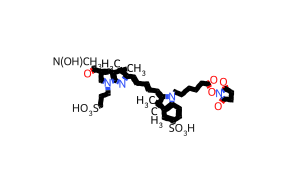 CN(O)C(=O)c1cc2c([n+](CCCS(=O)(=O)O)c1)N=C(/C=C/C=C/C=C1/N(CCCCCC(=O)ON3C(=O)CCC3=O)c3ccc(S(=O)(=O)O)cc3C1(C)C)C2(C)C